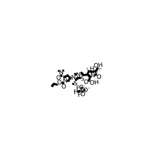 C=CCOC(=O)N1C[C@@H](n2c[n+]3cc(C4=C(C(=O)O)N5C(=O)[C@H]([C@@H](C)O)[C@H]5[C@H]4C)sc3c2SC)C[C@H]1C(=O)N(C)C.O=S(=O)([O-])C(F)(F)F